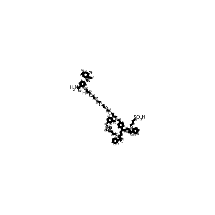 Cc1nn(-c2ccc(C(N)=O)c(NCCCOCCOCCOCCOCCOCCCN(Cc3ccc(C(=C\C=C4\N(CCCCS(=O)(=O)O)c5ccccc5C4(C)C)/C=C/C4=[N+](CCCCS(=O)(=O)[O-])c5ccccc5C4(C)C)cc3)Cc3cccc(I)c3)c2)c2c1C(=O)CC(C)(C)C2